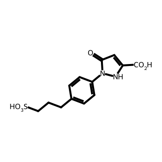 O=C(O)c1cc(=O)n(-c2ccc(CCCS(=O)(=O)O)cc2)[nH]1